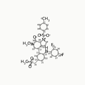 Cc1ccc(S(=O)(=O)n2ccc3c(-c4cc(CS(C)(=O)=O)ccc4Nc4ccc(F)cc4F)cn(C)c(=O)c32)cc1